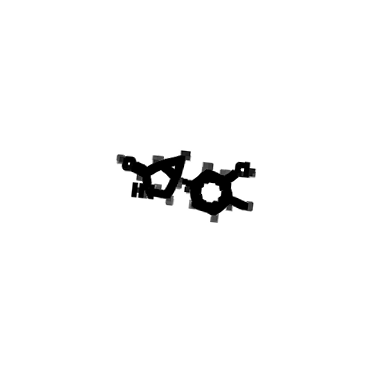 Cc1ccc([C@]23CNC(=O)C2C3)cc1Cl